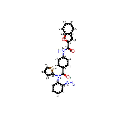 Nc1ccccc1N(C(=O)c1ccc(NC(=O)c2cc3ccccc3o2)cc1)c1cccs1